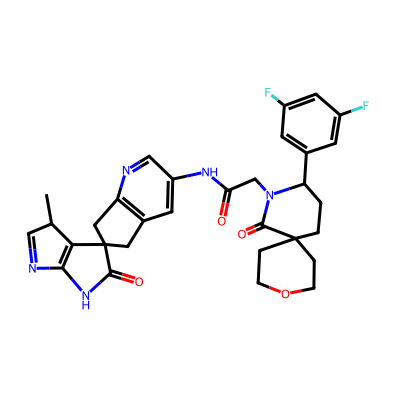 CC1C=NC2=C1C1(Cc3cc(NC(=O)CN4C(=O)C5(CCOCC5)CCC4c4cc(F)cc(F)c4)cnc3C1)C(=O)N2